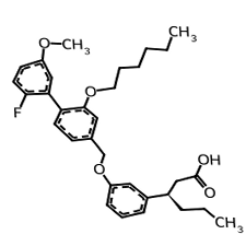 CCCCCCOc1cc(COc2cccc([C@H](CCC)CC(=O)O)c2)ccc1-c1cc(OC)ccc1F